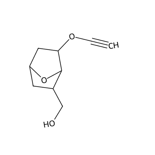 C#COC1CC2CC(CO)C1O2